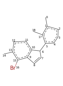 Cc1cccc(C2C=Cc3c2ccc(C)c3Br)c1C